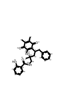 CC1=C(C)C(=O)C(C(Cc2ccccc2)CC(C)(O)CNC(=O)c2ccccc2O)=C(C)C1=O